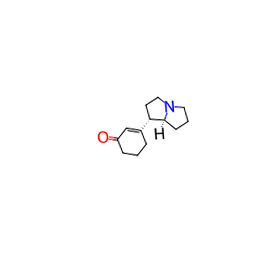 O=C1C=C([C@@H]2CCN3CCC[C@@H]23)CCC1